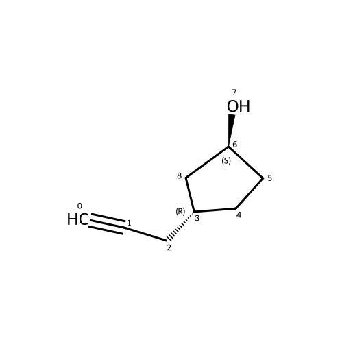 C#CC[C@H]1CC[C@H](O)C1